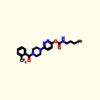 CC(C)CCCNC(=O)Oc1ccc(N2CCN(C(=O)c3ccccc3C(F)(F)F)CC2)nn1